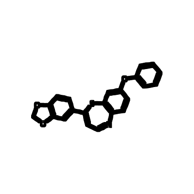 C1=Nc2ccc(Oc3ccccc3)cc2SC(c2ccc3c(c2)OCO3)=C1